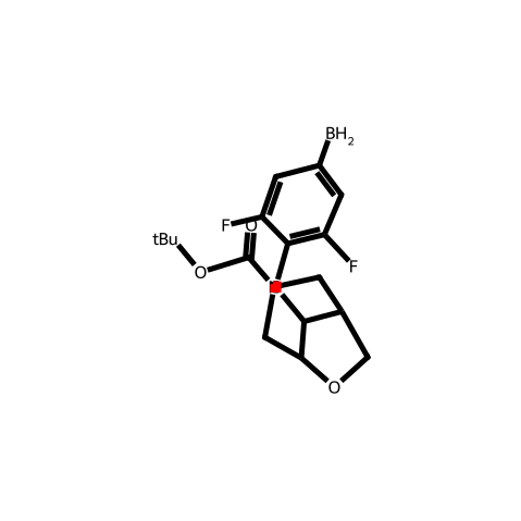 Bc1cc(F)c(OC2C3COC2CN(C(=O)OC(C)(C)C)C3)c(F)c1